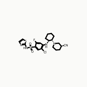 N#C[C@H]1CCCN([C@H]2CCCC[C@@H]2Nc2cc(F)c(S(=O)(=O)Nc3nccs3)cc2Cl)C1